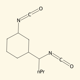 CCCC(N=C=O)C1CCCC(N=C=O)C1